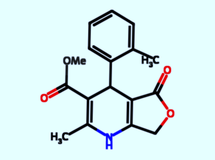 COC(=O)C1=C(C)NC2=C(C(=O)OC2)C1c1ccccc1C